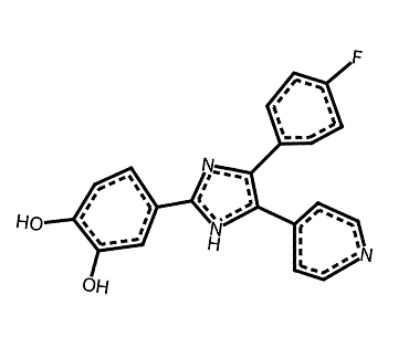 Oc1ccc(-c2nc(-c3ccc(F)cc3)c(-c3ccncc3)[nH]2)cc1O